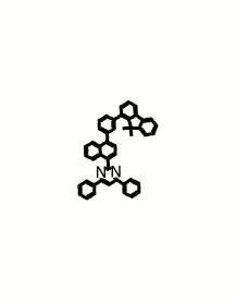 CC1(C)c2ccccc2-c2cccc(-c3cccc(-c4ccc(-c5nc(-c6ccccc6)cc(-c6ccccc6)n5)c5ccccc45)c3)c21